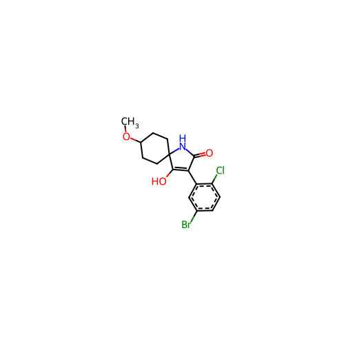 COC1CCC2(CC1)NC(=O)C(c1cc(Br)ccc1Cl)=C2O